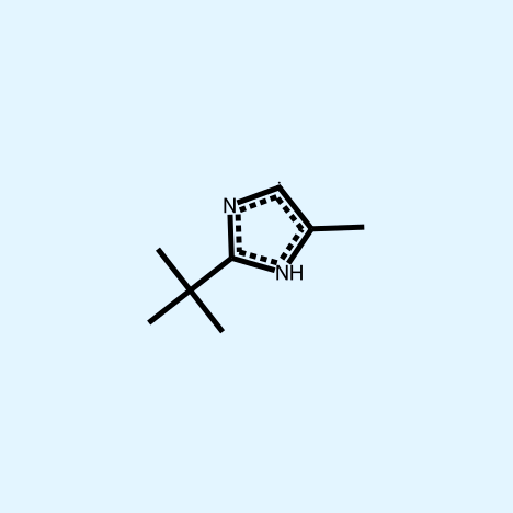 Cc1[c]nc(C(C)(C)C)[nH]1